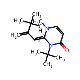 C=C(/C=C1\N(C)C=CC(=O)N1C(C)(C)C)C(C)(C)C